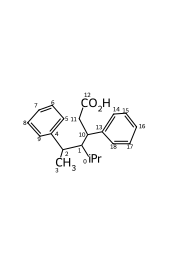 CC(C)C(C(C)c1ccccc1)C(CC(=O)O)c1ccccc1